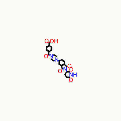 O=C1CCC(N2C(=O)c3ccc(N4CCN(C(=O)c5ccc(C(=O)O)cc5)CC4)cc3C2=O)C(=O)N1